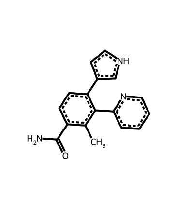 Cc1c(C(N)=O)ccc(-c2cc[nH]c2)c1-c1ccccn1